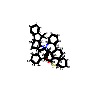 CC1(C)c2ccccc2-c2cccc(N(c3ccc4sc5ccccc5c4c3)c3ccccc3-c3cccc4oc5c6ccccc6ccc5c34)c21